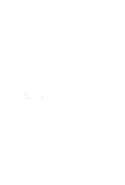 CNC(OS(=O)(=O)C(F)(F)F)C1OCCc2ccsc21